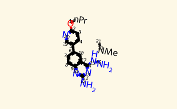 CCCOc1ccc(-c2ccc3nc(N)nc(NN)c3c2)cn1.CNC